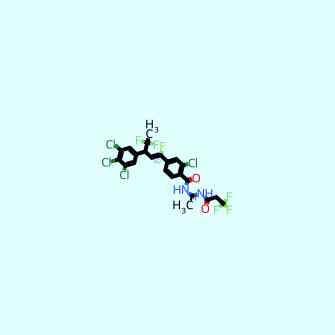 C[C@H](NC(=O)CC(F)(F)F)NC(=O)c1ccc(/C(F)=C/C(c2cc(Cl)c(Cl)c(Cl)c2)C(C)(F)F)cc1Cl